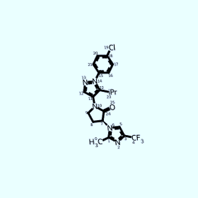 Cc1nc(C(F)(F)F)cn1[C@H]1CCN(c2cnn(-c3ccc(Cl)cc3)c2C(C)C)C1=O